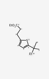 CCOC(=O)CCc1ccc(C(C)(C)CC)s1